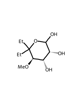 CCC1(CC)OC(O)[C@H](O)[C@H](O)[C@H]1OC